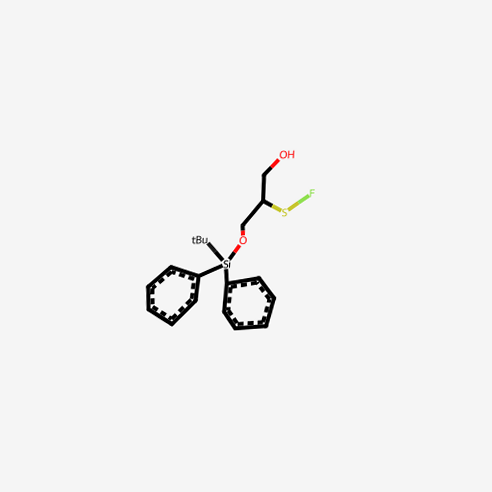 CC(C)(C)[Si](OCC(CO)SF)(c1ccccc1)c1ccccc1